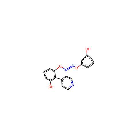 Oc1cccc(ON=NOc2cccc(O)c2-c2ccncc2)c1